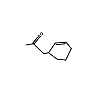 CC(=O)CC1C=CCCC1